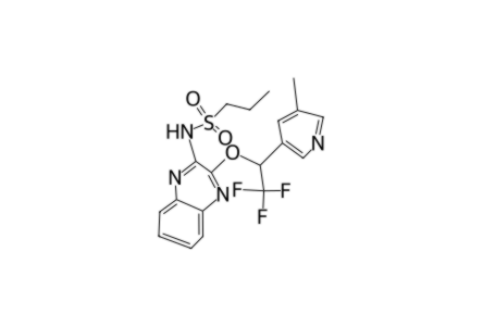 CCCS(=O)(=O)Nc1nc2ccccc2nc1OC(c1cncc(C)c1)C(F)(F)F